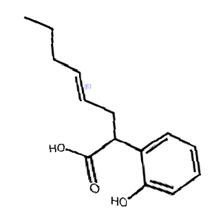 CCC/C=C/CC(C(=O)O)c1ccccc1O